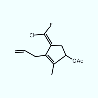 C=CCC1=C(C)C(OC(C)=O)CC1=C(F)Cl